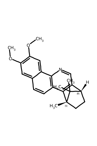 COc1cc2ccc3c4c(cnc3c2cc1OC)[C@@H]1CC[C@@]4(C)C1(C)C